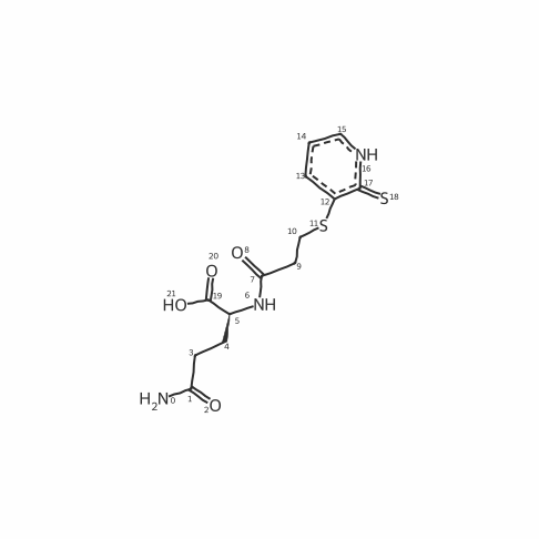 NC(=O)CC[C@H](NC(=O)CCSc1ccc[nH]c1=S)C(=O)O